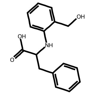 O=C(O)C(Cc1ccccc1)Nc1ccccc1CO